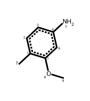 [CH2]c1ccc(N)cc1OC